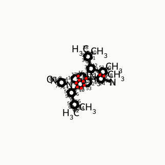 [C-]#[N+]c1ccc(N(C2=C3C=CC4=C5C(=CC=C(C=C2)C35)C(N(c2ccc(C#N)cc2)c2ccc(-c3ccc(C)c(C)c3)cc2-c2ccc(C)c(C)c2)C=C4)c2ccc(-c3ccc(C)c(C)c3)cc2-c2ccc(C)c(C)c2)cc1